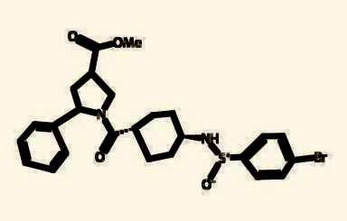 COC(=O)C1CC(c2ccccc2)N(C(=O)[C@H]2CC[C@H](N[S+]([O-])c3ccc(Br)cc3)CC2)C1